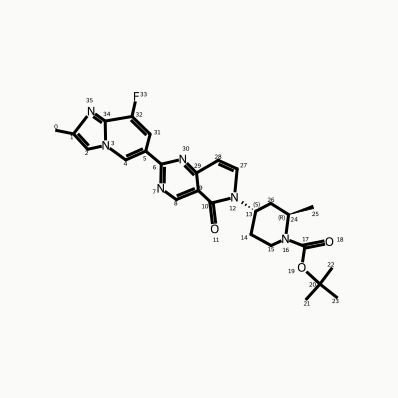 Cc1cn2cc(-c3ncc4c(=O)n([C@H]5CCN(C(=O)OC(C)(C)C)[C@H](C)C5)ccc4n3)cc(F)c2n1